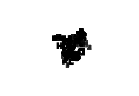 C=CC(c1nnc(C)n1-c1cc(Cl)ccc1C(F)(F)F)C(O)C(N/C=C(\N)c1nc(C)cs1)C(CCC)C(C)CCCC